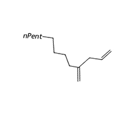 C=CCC(=C)CCCCCCCCC